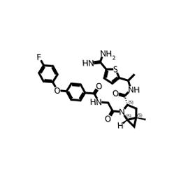 CC(NC(=O)[C@@H]1C[C@]2(C)C[C@@H]2N1C(=O)CNC(=O)c1ccc(Oc2ccc(F)cc2)cc1)c1ccc(C(=N)N)s1